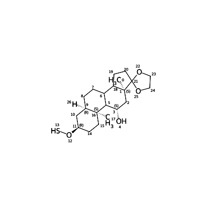 C[C@]12C[C@H](O)C3C(CC[C@@H]4C[C@H](OS)CC[C@]34C)C1CCC21OCCO1